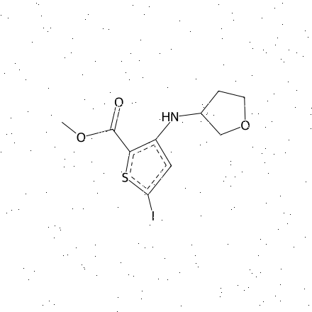 COC(=O)c1sc(I)cc1NC1CCOC1